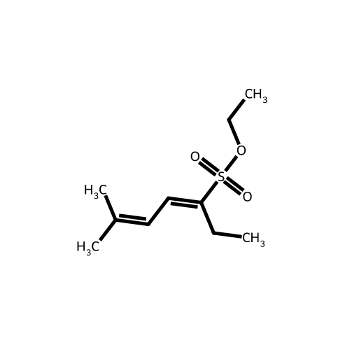 CCOS(=O)(=O)/C(=C/C=C(C)C)CC